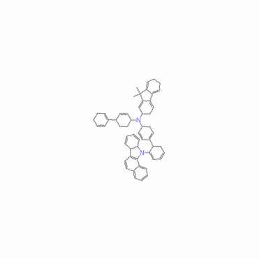 CC1(C)C2=CCCC=C2C2=CCC(N(C3C=CC(C4CC=CC=C4N4c5c(ccc6ccccc56)C5C=CC=CC54)=CC3)C3C=CC(C4=CCCC=C4)CC3)C=C21